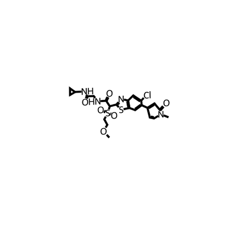 COCCS(=O)(=O)C(C(=O)NCC(=O)NC1CC1)c1nc2cc(Cl)c(-c3ccn(C)c(=O)c3)cc2s1